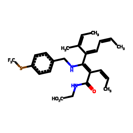 C\C=C/C=C(C(\C)=C/C)/C(NCc1ccc(SC(F)(F)F)cc1)=C(\C=C/C)C(=O)NCC(=O)O